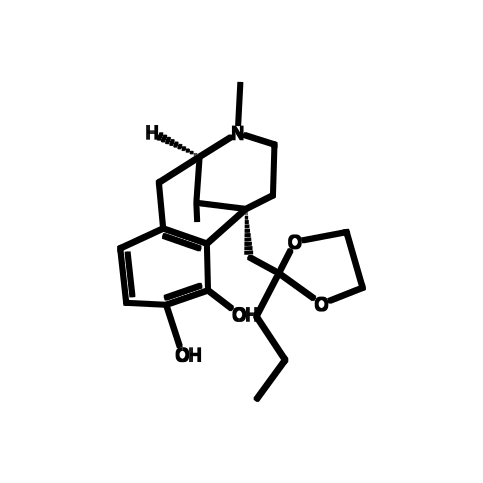 CCCC1(C[C@]23CCN(C)[C@H](Cc4ccc(O)c(O)c42)C3C)OCCO1